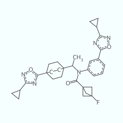 CC(N(C(=O)C12CC(F)(C1)C2)c1cccc(-c2nc(C3CC3)no2)c1)C12CCC(c3nc(C4CC4)no3)(CC1)CC2